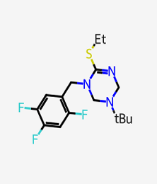 CCSC1=NCN(C(C)(C)C)CN1Cc1cc(F)c(F)cc1F